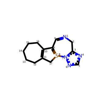 C1=NCc2ncnn2S2=C1C1=C(CCCCC1)C2